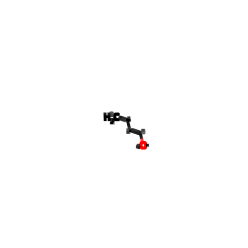 C=CC=C[O]